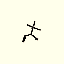 C=CC(Br)[Si](C)(C)C